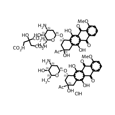 COc1cccc2c1C(=O)c1c(O)c3c(c(O)c1C2=O)C[C@@](O)(C(C)=O)C[C@@H]3O[C@H]1C[C@H](N)[C@H](O)[C@H](C)O1.COc1cccc2c1C(=O)c1c(O)c3c(c(O)c1C2=O)C[C@@](O)(C(C)=O)C[C@@H]3O[C@H]1C[C@H](N)[C@H](O)[C@H](C)O1.Cl.O=C(O)CC(O)(CC(=O)O)C(=O)O